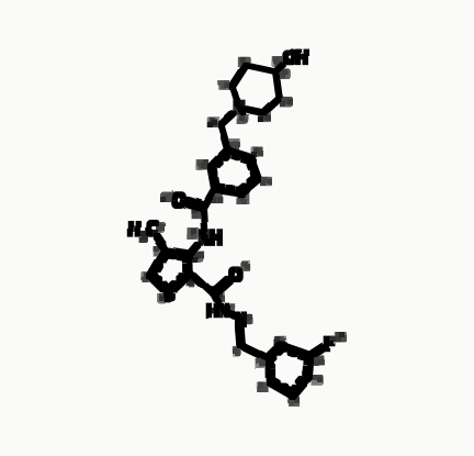 Cc1csc(C(=O)NN=Cc2cccc(F)c2)c1NC(=O)c1cccc(CN2CCC(O)CC2)c1